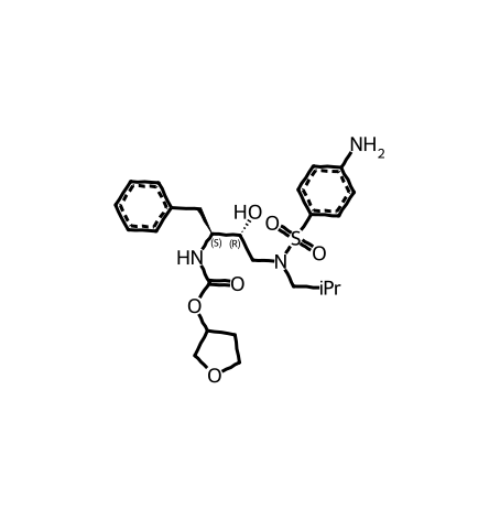 CC(C)CN(C[C@@H](O)[C@H](Cc1ccccc1)NC(=O)OC1CCOC1)S(=O)(=O)c1ccc(N)cc1